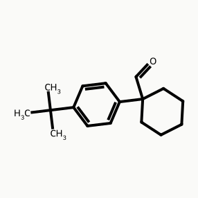 CC(C)(C)c1ccc(C2(C=O)CCCCC2)cc1